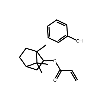 C=CC(=O)OC1CC2CCC1(C)C2(C)C.Oc1ccccc1